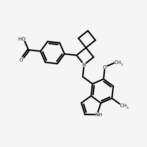 COc1cc(C)c2[nH]ccc2c1CN1CC2(CCC2)C1c1ccc(C(=O)O)cc1